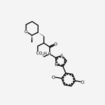 C[C@H]1OCCC[C@@H]1CC(CC(=O)O)C(=O)N(C)c1nc(-c2cc(Cl)ccc2Cl)cs1